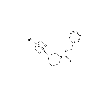 CCCC12COC(C3CCCN(C(=O)OCc4ccccc4)C3)(OC1)OC2